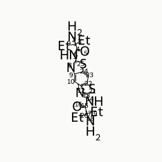 CCC(N)(CC)C(=O)Nc1nc2cc3nc(NC(=O)C(N)(CC)CC)sc3cc2s1